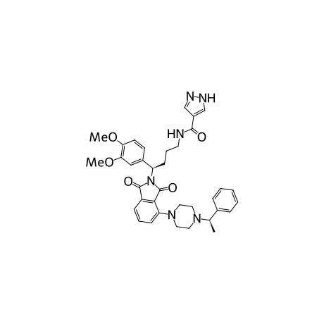 COc1ccc([C@@H](CCCNC(=O)c2cn[nH]c2)N2C(=O)c3cccc(N4CCN([C@H](C)c5ccccc5)CC4)c3C2=O)cc1OC